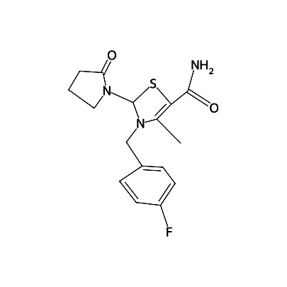 CC1=C(C(N)=O)SC(N2CCCC2=O)N1Cc1ccc(F)cc1